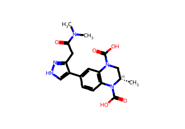 C[C@H]1CN(C(=O)O)c2cc(-c3c[nH]nc3CC(=O)N(C)C)ccc2N1C(=O)O